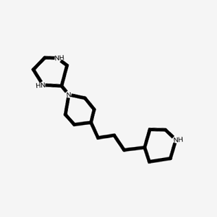 C(CC1CCNCC1)CC1CCN(C2CNCCN2)CC1